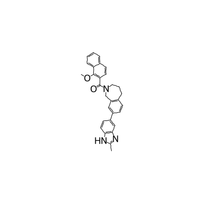 COc1c(C(=O)N2CCCc3ccc(-c4ccc5[nH]c(C)nc5c4)cc3C2)ccc2ccccc12